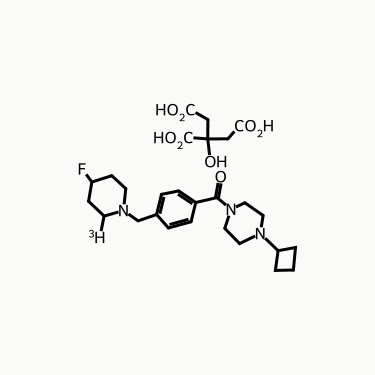 O=C(O)CC(O)(CC(=O)O)C(=O)O.[3H]C1CC(F)CCN1Cc1ccc(C(=O)N2CCN(C3CCC3)CC2)cc1